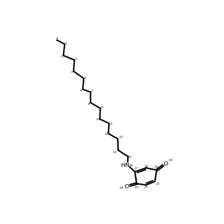 CCCCCCCCCCCCCCCCNC1=CC(=O)C=CC1=O